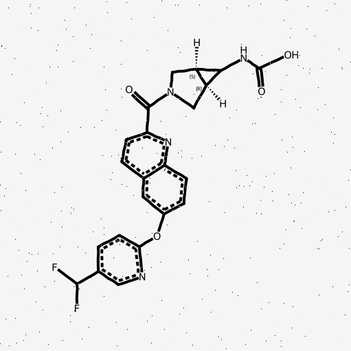 O=C(O)NC1[C@H]2CN(C(=O)c3ccc4cc(Oc5ccc(C(F)F)cn5)ccc4n3)C[C@@H]12